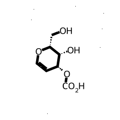 O=C(O)O[C@@H]1C=CO[C@H](CO)[C@@H]1O